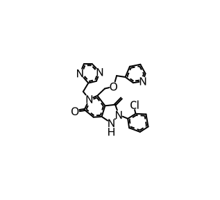 C=C1c2c(cc(=O)n(Cc3cnccn3)c2COCc2cccnc2)NN1c1ccccc1Cl